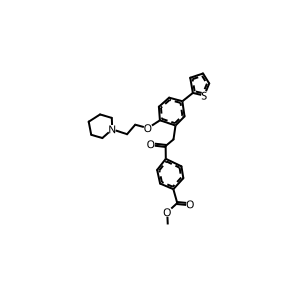 COC(=O)c1ccc(C(=O)Cc2cc(-c3cccs3)ccc2OCCN2CCCCC2)cc1